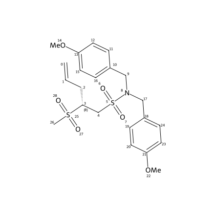 C=CC[C@H](CS(=O)(=O)N(Cc1ccc(OC)cc1)Cc1ccc(OC)cc1)S(C)(=O)=O